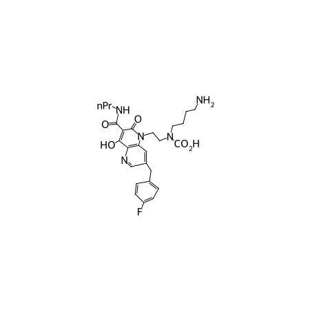 CCCNC(=O)c1c(O)c2ncc(Cc3ccc(F)cc3)cc2n(CCN(CCCCN)C(=O)O)c1=O